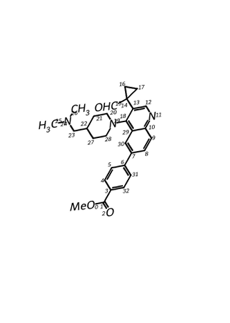 COC(=O)c1ccc(-c2ccc3ncc(C4(C=O)CC4)c(N4CCC(CN(C)C)CC4)c3c2)cc1